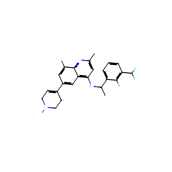 Cc1cc(NC(C)c2cccc(C(F)F)c2F)c2cc(C3=CCN(C(=O)O)CC3)cc(C(F)(F)F)c2n1